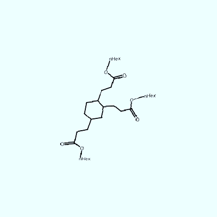 CCCCCCOC(=O)CCC1CCC(CCC(=O)OCCCCCC)C(CCC(=O)OCCCCCC)C1